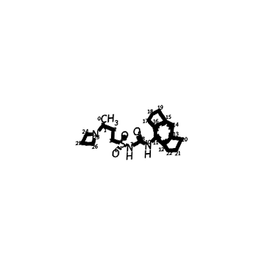 CC(CCS(=O)(=O)NC(=O)Nc1c2c(cc3c1CCC3)CCC2)N1CCC1